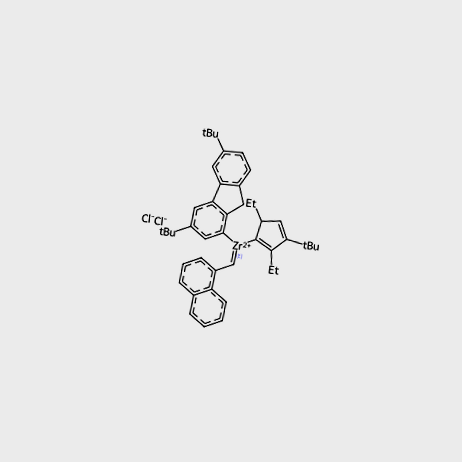 CCC1=[C](/[Zr+2](=[CH]/c2cccc3ccccc23)[c]2cc(C(C)(C)C)cc3c2Cc2ccc(C(C)(C)C)cc2-3)C(CC)C=C1C(C)(C)C.[Cl-].[Cl-]